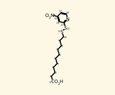 O=C(O)CCCCCCCCCCSSc1cc([N+](=O)[O-])ccn1